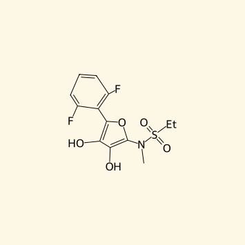 CCS(=O)(=O)N(C)c1oc(-c2c(F)cccc2F)c(O)c1O